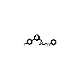 CN(CCOc1ccccc1)Cc1cncc(-c2ccc(F)cc2)c1